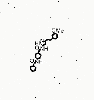 COc1cccc(CCc2cc(NC(=O)c3ccc(NC(=O)c4ccccc4)cc3)[nH]n2)c1